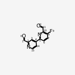 O=Cc1cc(-c2ccc(F)c(C=O)n2)ccn1